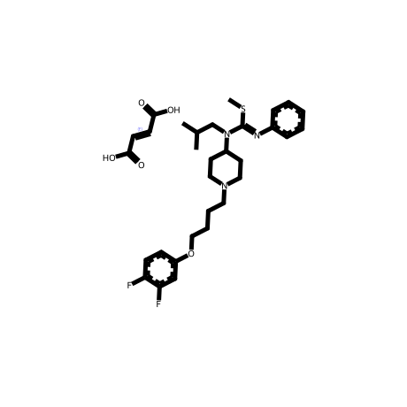 CSC(=Nc1ccccc1)N(CC(C)C)C1CCN(CCCCOc2ccc(F)c(F)c2)CC1.O=C(O)/C=C/C(=O)O